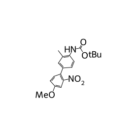 COc1ccc(-c2ccc(NC(=O)OC(C)(C)C)c(C)c2)c([N+](=O)[O-])c1